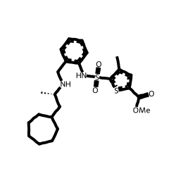 COC(=O)c1cc(C)c(S(=O)(=O)Nc2ccccc2CN[C@@H](C)CC2CCCCCC2)s1